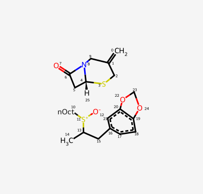 C=C1CS[C@@H]2CC(=O)N2C1.CCCCCCCC[S+]([O-])C(C)Cc1ccc2c(c1)OCO2